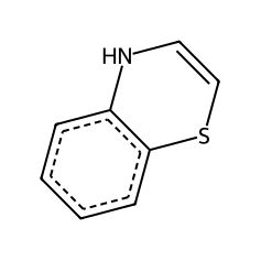 C1=CSc2ccccc2N1